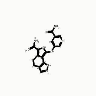 NC(=O)c1cncc(Oc2sc(C(N)=O)c3c2-c2sncc2CC3)c1